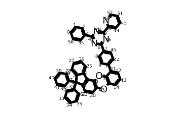 c1ccc(-c2nc(-c3ccc(-c4cccc5c4Oc4c(ccc6c4-c4ccccc4C6(c4ccccc4)c4ccccc4)O5)cc3)nc(-c3ccccn3)n2)cc1